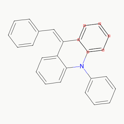 C(=C(c1ccccc1)c1ccccc1N(c1ccccc1)c1ccccc1)c1ccccc1